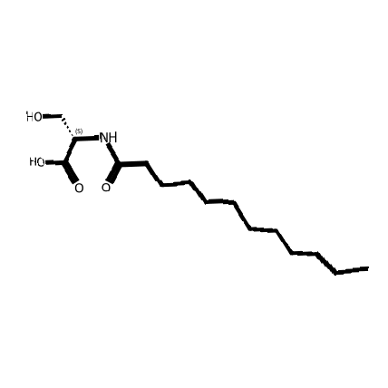 CCCCCCCCCCCC(=O)N[C@@H](CO)C(=O)O